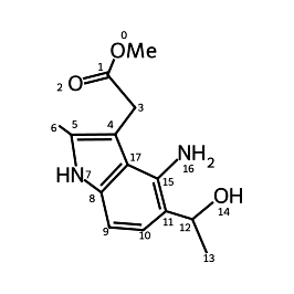 COC(=O)Cc1c(C)[nH]c2ccc(C(C)O)c(N)c12